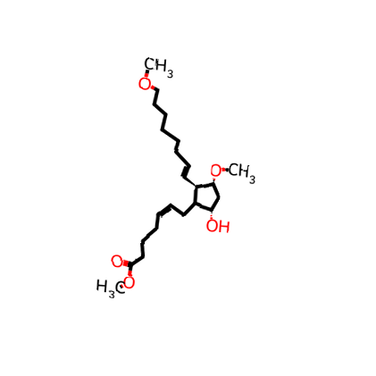 COCCCCCC/C=C/[C@@H]1C(C/C=C\CCCC(=O)OC)[C@@H](O)C[C@H]1OC